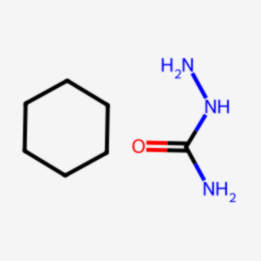 C1CCCCC1.NNC(N)=O